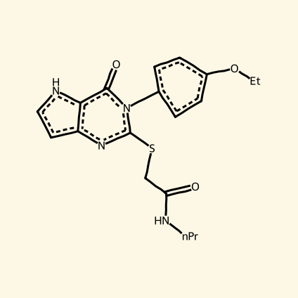 CCCNC(=O)CSc1nc2cc[nH]c2c(=O)n1-c1ccc(OCC)cc1